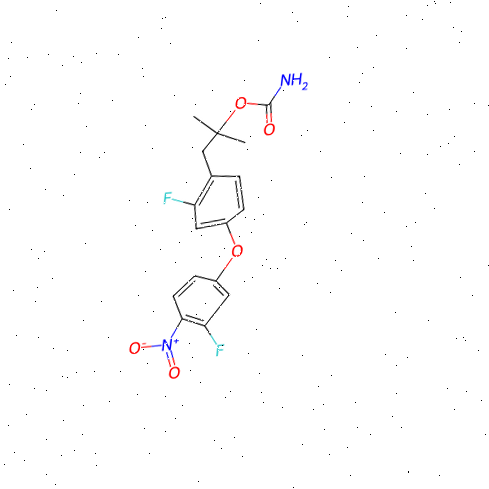 CC(C)(Cc1ccc(Oc2ccc([N+](=O)[O-])c(F)c2)cc1F)OC(N)=O